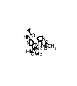 CONC(=O)c1cnc(NC(=O)C2CC2)cc1Nc1cccnc1N(C)S(C)(=O)=O